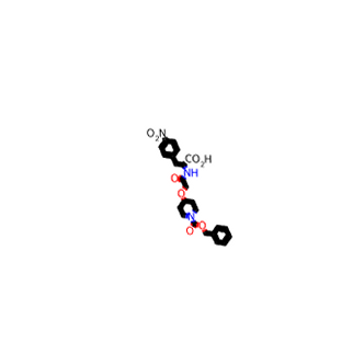 O=C(COC1CCN(C(=O)OCc2ccccc2)CC1)NC(Cc1ccc([N+](=O)[O-])cc1)C(=O)O